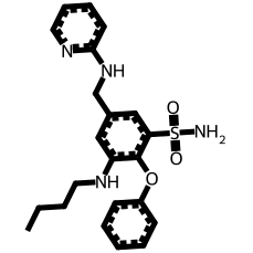 CCCCNc1cc(CNc2ccccn2)cc(S(N)(=O)=O)c1Oc1ccccc1